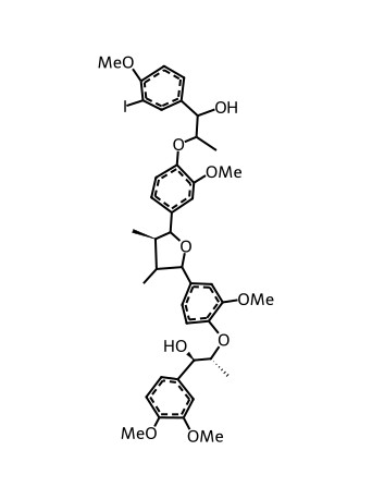 COc1ccc(C(O)C(C)Oc2ccc(C3OC(c4ccc(O[C@H](C)[C@H](O)c5ccc(OC)c(OC)c5)c(OC)c4)C(C)[C@H]3C)cc2OC)cc1I